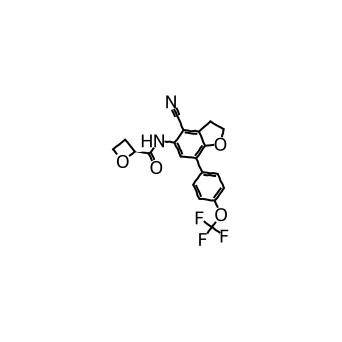 N#Cc1c(NC(=O)[C@@H]2CCO2)cc(-c2ccc(OC(F)(F)F)cc2)c2c1CCO2